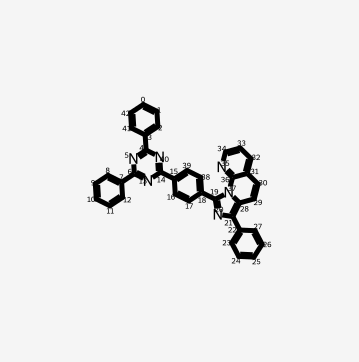 c1ccc(-c2nc(-c3ccccc3)nc(-c3ccc(-c4nc(-c5ccccc5)c5ccc6cccnc6n45)cc3)n2)cc1